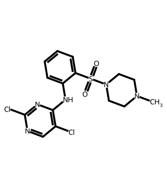 CN1CCN(S(=O)(=O)c2ccccc2Nc2nc(Cl)ncc2Cl)CC1